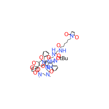 CC[C@]1(OC(=O)N(C)CCN(C)C(=O)CNC(=O)[C@H](Cc2ccccc2)NC(=O)CNC(=O)CNC(=O)CCCCCN2C(=O)C=CC2=O)C(=O)OCc2c1cc1n(c2=O)Cc2c-1nc1ccccc1c2/C=N/OC(C)(C)C